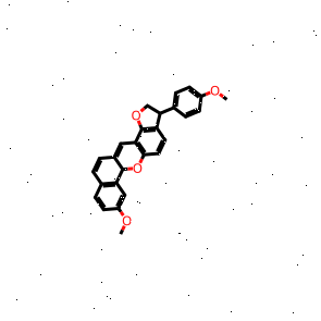 COc1ccc(C2COc3c2ccc2c3C=C3C=Cc4ccc(OC)cc4C3O2)cc1